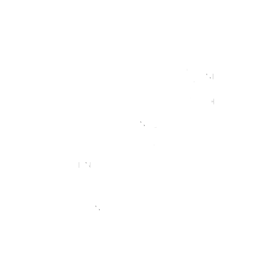 Cc1cc(Nc2ccc(NC(=O)C3=CCC(O)(C(N)=O)C=C3)cc2)c2ccccc2n1